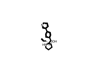 C=CC[C@]1([C@@H](O)c2ccc(-c3cccnc3)cc2)CCCCN1